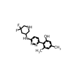 Cc1cc(C)c(-c2ccc(NC3CNCC(F)(F)C3)nn2)c(O)c1